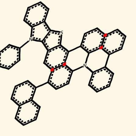 c1ccc(-c2ccccc2N(c2ccc(-c3cccc4ccccc34)cc2)c2ccccc2-c2cccc3c2sc2c4ccccc4n(-c4ccccc4)c32)cc1